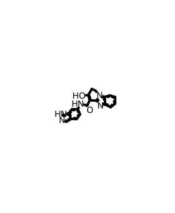 O=C(Nc1ccc2cn[nH]c2c1)C1=C(O)CCn2c1nc1ccccc12